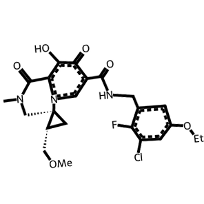 CCOc1cc(Cl)c(F)c(CNC(=O)c2cn3c(c(O)c2=O)C(=O)N(C)C[C@@]32C[C@@H]2COC)c1